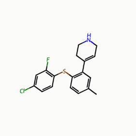 Cc1ccc(Sc2ccc(Cl)cc2F)c(C2=CCNCC2)c1